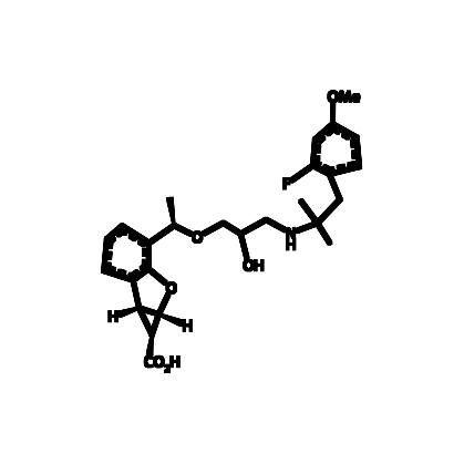 COc1ccc(CC(C)(C)NCC(O)CO[C@H](C)c2cccc3c2O[C@@H]2[C@@H](C(=O)O)[C@H]32)c(F)c1